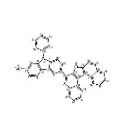 N#Cc1ccc2c3cc(-c4cc5ccccc5c5c4oc4ccc6ccccc6c45)ccc3n(-c3ccccc3)c2c1